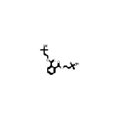 CC(C)(S)CCOC(=O)c1ccccc1C(=O)OCCC(C)(C)S